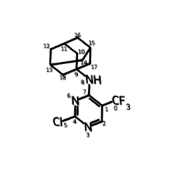 FC(F)(F)c1cnc(Cl)nc1NC12CC3CC(CC(C3)C1)C2